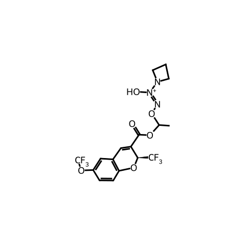 CC(O/N=[N+](\O)N1CCC1)OC(=O)C1=Cc2cc(OC(F)(F)F)ccc2O[C@@H]1C(F)(F)F